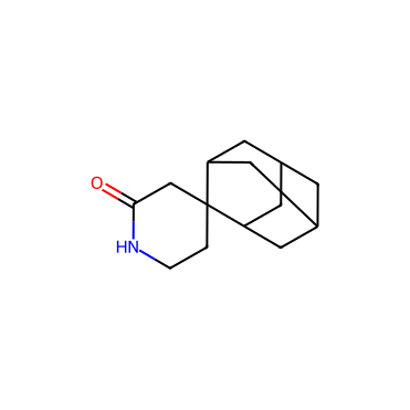 O=C1CC2(CCN1)C1CC3CC(C1)CC2C3